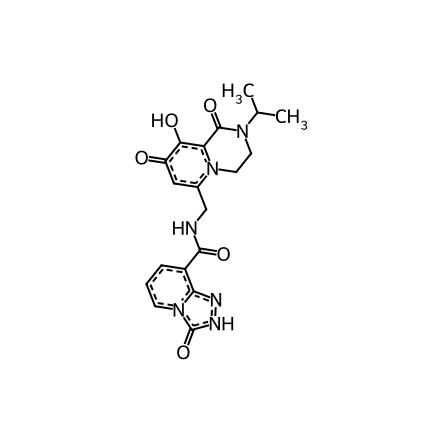 CC(C)N1CCn2c(CNC(=O)c3cccn4c(=O)[nH]nc34)cc(=O)c(O)c2C1=O